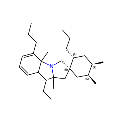 CCCC1=CC=CC(CCC)C1(C)N1C[C@]2(C[C@H](C)[C@H](C)C[C@H]2CCC)CC1(C)C